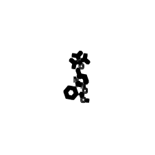 COC(=O)[C@@H]1CCCC[C@@H]1c1nccc(CO[Si](C(C)C)(C(C)C)C(C)C)n1